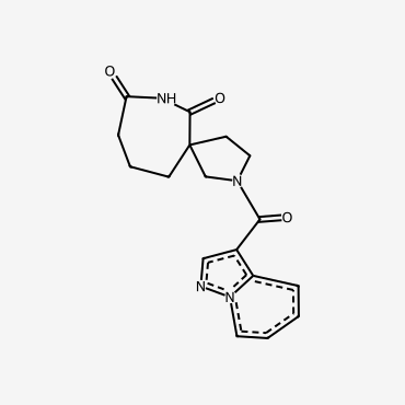 O=C1CCCC2(CCN(C(=O)c3cnn4ccccc34)C2)C(=O)N1